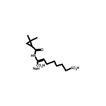 CC1(C)CC1C(=O)NC(=CCCCCCS(=O)(=O)O)C(=O)O.[NaH]